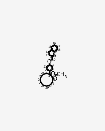 CC(=O)OC1(c2ccc(OCc3ccc4ccccc4n3)cc2)CCCCCCCCCCC1